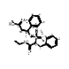 CCOC(=O)[C@H](Cc1ccccc1)P(N)(=O)NC(CC(=O)O)c1ccccc1